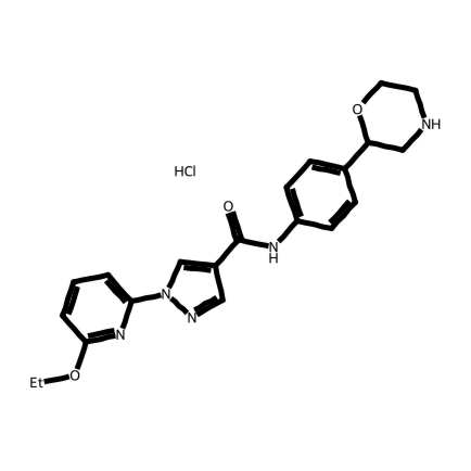 CCOc1cccc(-n2cc(C(=O)Nc3ccc(C4CNCCO4)cc3)cn2)n1.Cl